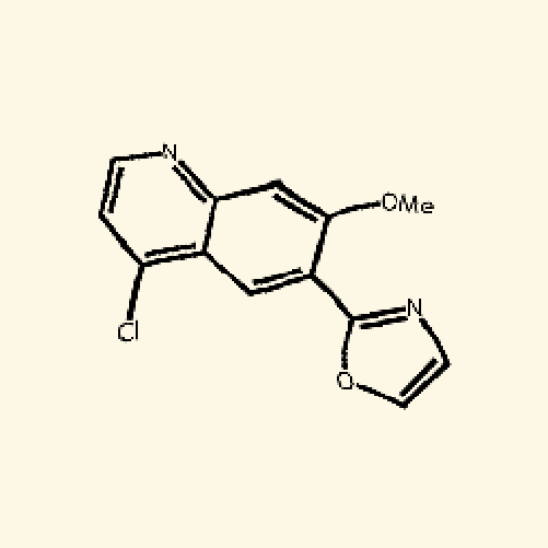 COc1cc2nccc(Cl)c2cc1-c1ncco1